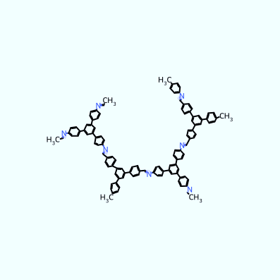 CC=Nc1ccc(-c2cc(-c3ccc(/N=C/C)cc3)cc(-c3ccc(/N=C/c4ccc(-c5cc(-c6ccc(C)cc6)cc(-c6ccc(/C=N/c7ccc(-c8cc(-c9ccc(N=CC)cc9)cc(-c9ccc(/N=C/c%10ccc(-c%11cc(-c%12ccc(C)cc%12)cc(-c%12ccc(/C=N/c%13ccc(C)cc%13)cc%12)c%11)cc%10)cc9)c8)cc7)cc6)c5)cc4)cc3)c2)cc1